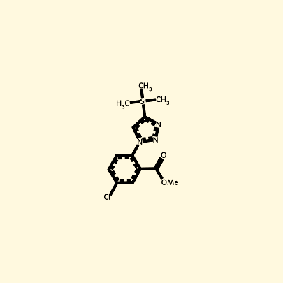 COC(=O)c1cc(Cl)ccc1-n1cc([Si](C)(C)C)nn1